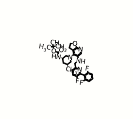 C[C@@H]1C[C@H](NC(=O)OC(C)(C)C)CN(c2c(NCc3ccc(F)c(-c4c(F)cccc4F)n3)cnc3c2CCO3)C1